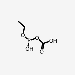 CCOP(O)OC(=O)O